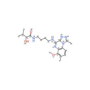 COc1c(C)ccc2c1nc(NCCCCNC(=O)C(O)C(C)C)c1nnc(C)n12